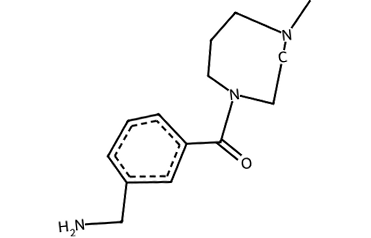 CN1CCCN(C(=O)c2cccc(CN)c2)CC1